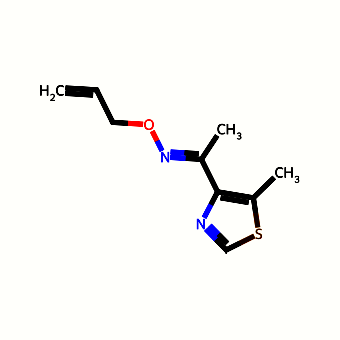 C=CCON=C(C)c1n[c]sc1C